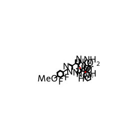 COc1ccc(-c2ncc(-c3cnn4c(N)c(S(C)(=O)=O)c([C@@H]5C[C@H]6CC[C@@H](C5)N6C(=O)c5nnc[nH]5)nc34)cn2)c(F)c1F